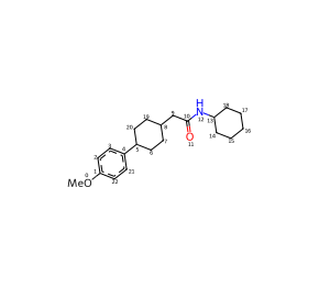 COc1ccc(C2CCC(CC(=O)NC3CCCCC3)CC2)cc1